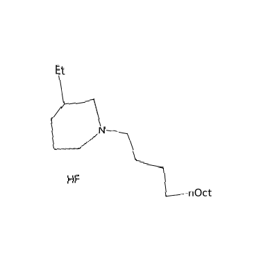 CCCCCCCCCCCCN1CCCC(CC)C1.F